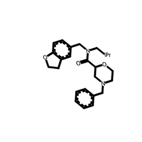 CC(C)CN(Cc1ccc2c(c1)CCO2)C(=O)C1CN(Cc2ccccc2)CCO1